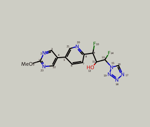 COc1ncc(-c2ccc(C(F)C(O)C(F)n3cnnn3)nc2)cn1